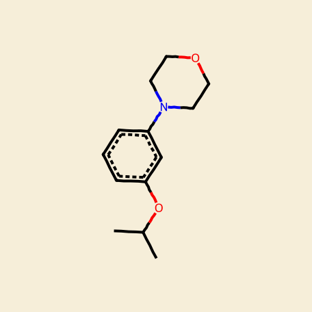 CC(C)Oc1cccc(N2CCOCC2)c1